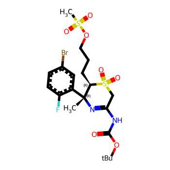 CC(C)(C)OC(=O)NC1=N[C@](C)(c2cc(Br)ccc2F)[C@@H](CCCOS(C)(=O)=O)S(=O)(=O)C1